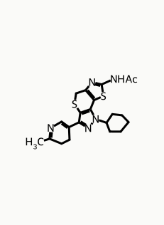 CC(=O)Nc1nc2c(s1)-c1c(c(C3=CN=C(C)CC3)nn1C1CCCCC1)SC2